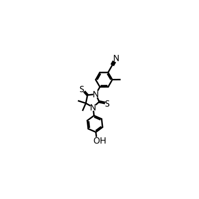 Cc1cc(N2C(=S)N(c3ccc(O)cc3)C(C)(C)C2=S)ccc1C#N